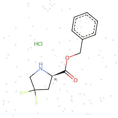 Cl.O=C(OCc1ccccc1)[C@H]1CC(F)(F)CN1